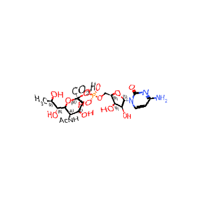 CC(=O)N[C@H]1C([C@H](O)[C@@H](C)O)O[C@](OP(=O)(O)OC[C@H]2O[C@H](n3ccc(N)nc3=O)C(O)[C@H]2O)(C(=O)O)C[C@H]1O